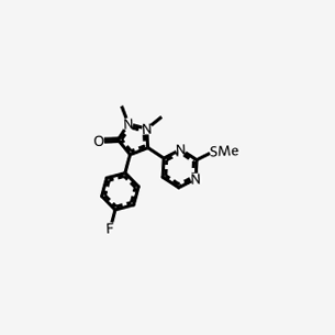 CSc1nccc(-c2c(-c3ccc(F)cc3)c(=O)n(C)n2C)n1